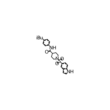 CCC(C)c1ccc(NC(=O)C2CCN(S(=O)(=O)c3ccc4[nH]ccc4c3)CC2)cc1